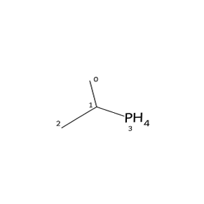 CC(C)[PH4]